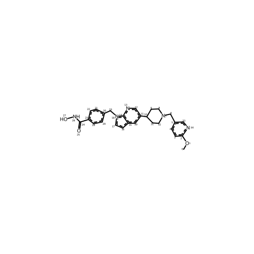 COc1ccc(CN2CCC(c3cnc4c(ccn4Cc4ccc(C(=O)NO)cc4)c3)CC2)cn1